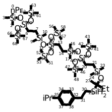 CCC[Si](C)(C)O[Si](CC[Si](C)(C)O[Si](CC[Si](C)(C)O[Si](CC[Si](C)(C)OC(C)(CC)[SiH2]CCc1ccc(C(C)C)cc1)(O[Si](C)(C)C)O[Si](C)(C)C)(O[Si](C)(C)C)O[Si](C)(C)C)(O[Si](C)(C)C)O[Si](C)(C)C